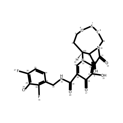 C#CC1[C@@H]2CCOSCCN1C(=O)c1c(O)c(=O)c(C(=O)NCc3ccc(F)c(Cl)c3F)cn12